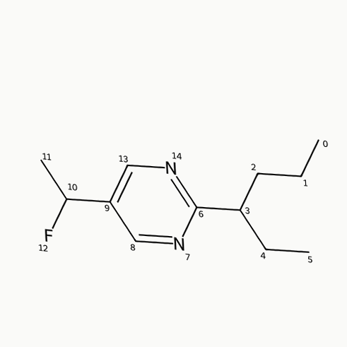 CCCC(CC)c1ncc(C(C)F)cn1